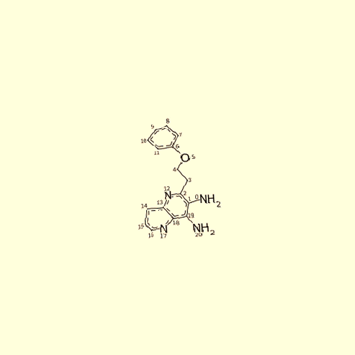 Nc1c(CCOc2ccccc2)nc2cccnc2c1N